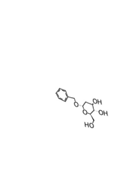 OC[C@H]1O[C@H](OCc2ccccc2)C[C@@H](O)[C@@H]1O